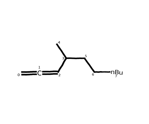 C=C=CC(C)CCCCCC